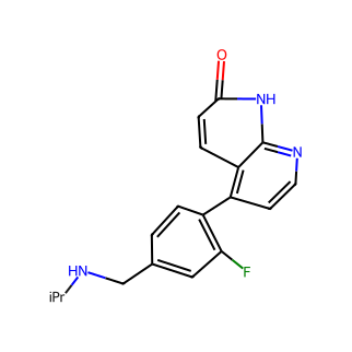 CC(C)NCc1ccc(-c2ccnc3[nH]c(=O)ccc23)c(F)c1